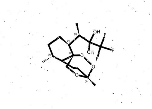 C[C@@H]1CC[C@@H]([C@@H](C)C(O)(O)C(F)(F)F)[C@@]23CO[C@](C)(CCC12)OO3